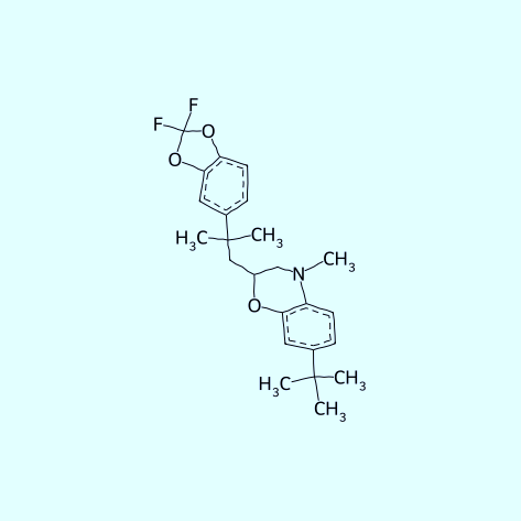 CN1CC(CC(C)(C)c2ccc3c(c2)OC(F)(F)O3)Oc2cc(C(C)(C)C)ccc21